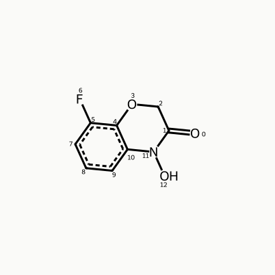 O=C1COc2c(F)cccc2N1O